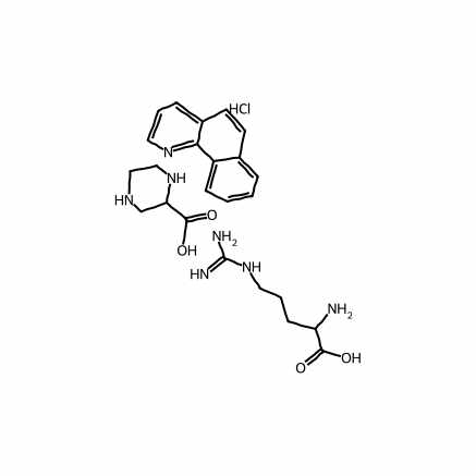 Cl.N=C(N)NCCCC(N)C(=O)O.O=C(O)C1CNCCN1.c1ccc2c(c1)ccc1cccnc12